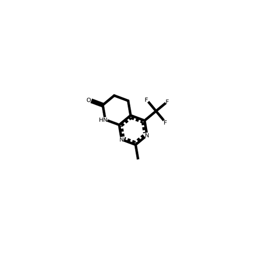 Cc1nc2c(c(C(F)(F)F)n1)CCC(=O)N2